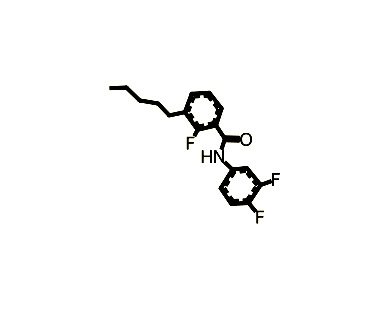 CCCCCc1cccc(C(=O)Nc2ccc(F)c(F)c2)c1F